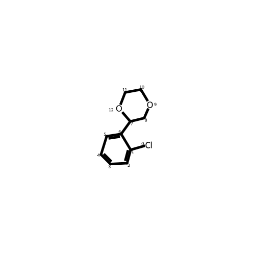 Clc1ccccc1C1CO[CH]CO1